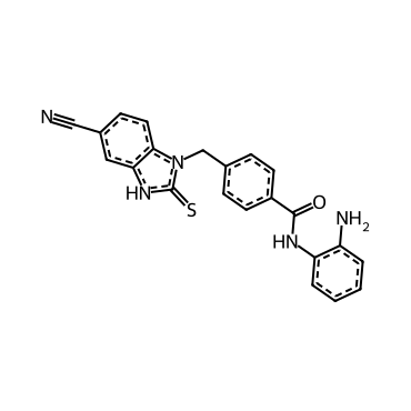 N#Cc1ccc2c(c1)[nH]c(=S)n2Cc1ccc(C(=O)Nc2ccccc2N)cc1